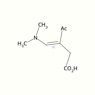 CC(=O)/C(=C\N(C)C)CC(=O)O